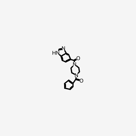 O=C(c1ccccc1)N1CCN(C(=O)c2ccc3[nH]cnc3c2)CC1